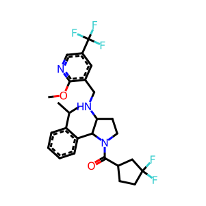 COc1ncc(C(F)(F)F)cc1CNC1CCN(C(=O)C2CCC(F)(F)C2)C1c1ccccc1C(C)C